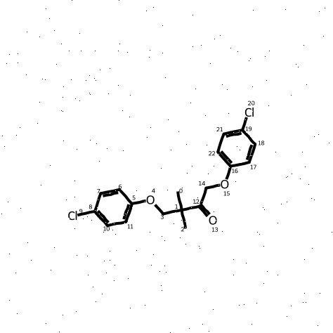 CC(C)(COc1ccc(Cl)cc1)C(=O)COc1ccc(Cl)cc1